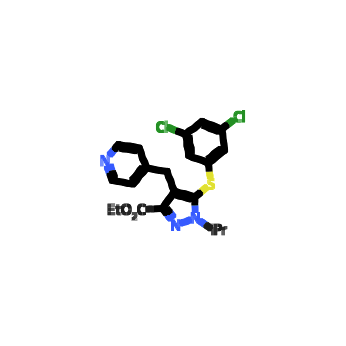 CCOC(=O)c1nn(C(C)C)c(Sc2cc(Cl)cc(Cl)c2)c1Cc1ccncc1